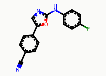 N#Cc1ccc(-c2cnc(Nc3ccc(F)cc3)o2)cc1